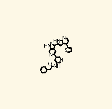 O=C(Cc1ccccc1)Nc1cncc(-c2cc3c(-c4cc5c(-c6cccs6)ccnc5[nH]4)n[nH]c3cn2)c1